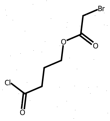 O=C(Cl)CCCOC(=O)CBr